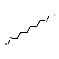 CCCCOCCCCCCO[C]=O